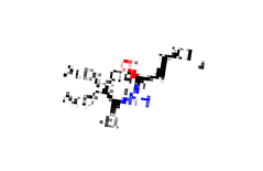 CC=CC(=O)NC(CC)[Si](OC(C)=O)(OC(C)=O)OC(C)=O